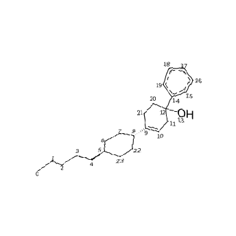 CCCCC[C@H]1CC[C@H](C2=CCC(O)(c3ccccc3)CC2)CC1